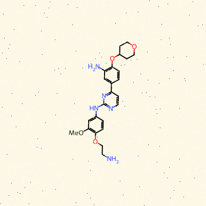 COc1cc(Nc2nccc(-c3ccc(OC4CCOCC4)c(N)c3)n2)ccc1OCCN